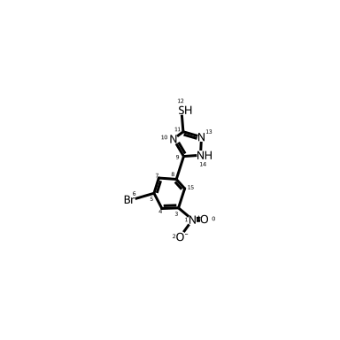 O=[N+]([O-])c1cc(Br)cc(-c2nc(S)n[nH]2)c1